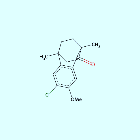 COc1cc2c(cc1Cl)C1(C)CCC(C)(CC1)C2=O